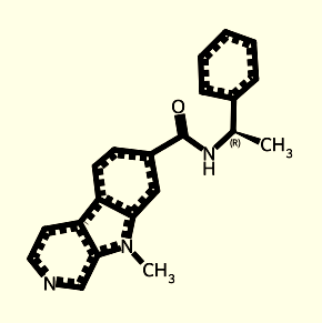 C[C@@H](NC(=O)c1ccc2c3ccncc3n(C)c2c1)c1ccccc1